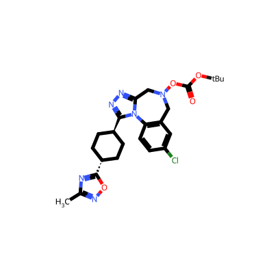 Cc1noc([C@H]2CC[C@H](c3nnc4n3-c3ccc(Cl)cc3CN(OC(=O)OC(C)(C)C)C4)CC2)n1